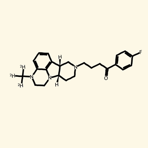 [2H]C([2H])([2H])N1CCN2c3c(cccc31)[C@@H]1CN(CCCC(=O)c3ccc(F)cc3)CC[C@@H]12